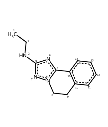 CCNc1nc2n(n1)CCc1ccccc1-2